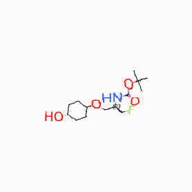 CC(C)(C)OC(=O)N[C@@H](CF)CO[C@H]1CC[C@H](O)CC1